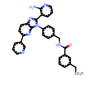 Nc1ncccc1-c1nc2ccc(-c3cccnc3)nc2n1-c1ccc(CNC(=O)c2cccc(CC(=O)O)c2)cc1